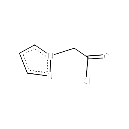 O=C(Cl)Cn1cccn1